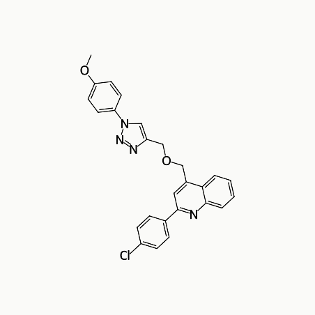 COc1ccc(-n2cc(COCc3cc(-c4ccc(Cl)cc4)nc4ccccc34)nn2)cc1